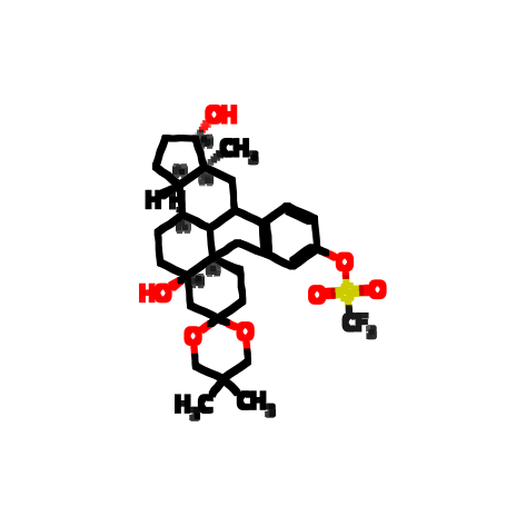 CC1(C)COC2(CC[C@@]34Cc5cc(OS(=O)(=O)C(F)(F)F)ccc5C5C[C@]6(C)[C@@H](O)CC[C@H]6[C@H](CC[C@@]3(O)C2)C54)OC1